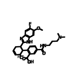 COc1cc2[nH]c(C3CC=C[C@H](Cl)C3c3ccc(C(=O)NCCCN(C)C)cc3C(=O)O)nc2cc1F